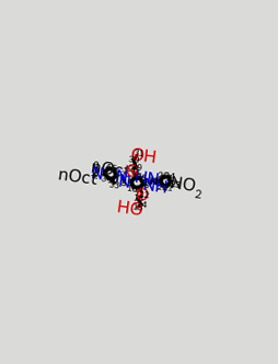 CCCCCCCCN(CCCCCCCC)c1ccc(/N=N/c2cc(OCCO)c(NNc3ccc([N+](=O)[O-])cc3)cc2OCCO)c(C)c1